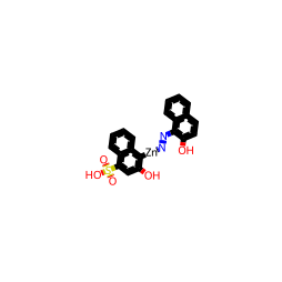 O=S(=O)(O)c1cc(O)[c]([Zn][N]=Nc2c(O)ccc3ccccc23)c2ccccc12